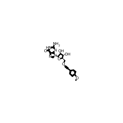 COc1ccc(C#COC[C@H]2O[C@@H](n3cnc4c(=O)[nH]c(N)nc43)[C@H](O)[C@@H]2O)cc1